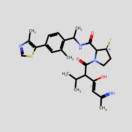 CC(=N)/C=C(\O)C(C(=O)N1CC[C@H](F)C1C(=O)NC(C)c1ccc(-c2scnc2C)cc1C)C(C)C